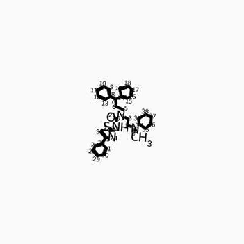 CN(CCN(CCC(c1ccccc1)c1ccccc1)C(=O)Nc1nc(-c2ccccc2)cs1)C1CCCCC1